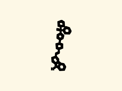 CCn1c2ccccc2c2cc(C=Cc3ccc(-c4ccc(P(=O)(c5ccccc5)c5ccccc5)cc4)cc3)ccc21